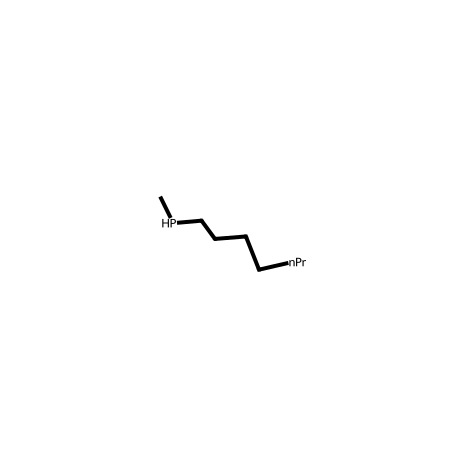 CCCCCCCPC